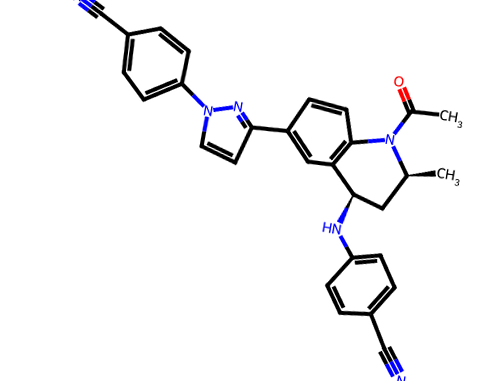 CC(=O)N1c2ccc(-c3ccn(-c4ccc(C#N)cc4)n3)cc2[C@H](Nc2ccc(C#N)cc2)C[C@@H]1C